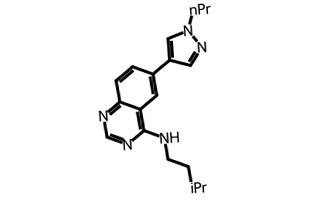 CCCn1cc(-c2ccc3ncnc(NCCC(C)C)c3c2)cn1